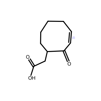 O=C(O)CC1CCCC/C=C\C1=O